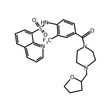 O=C(c1ccc(NS(=O)(=O)c2cccc3cccnc23)c(C(F)(F)F)c1)N1CCN(CC2CCCO2)CC1